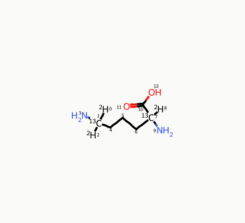 [2H][13C]([2H])(N)CCC[13C]([2H])(N)C(=O)O